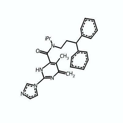 C=C1N=C(n2ccnc2)NC(C(=O)N(CCC(c2ccccc2)c2ccccc2)C(C)C)=C1C